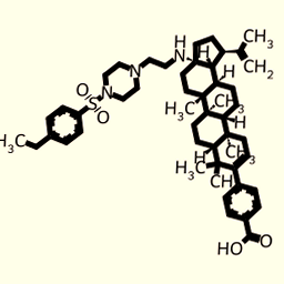 C=C(C)[C@@H]1CC[C@]2(NCCN3CCN(S(=O)(=O)c4ccc(CC)cc4)CC3)CC[C@]3(C)[C@H](CC[C@@H]4[C@@]5(C)CC=C(c6ccc(C(=O)O)cc6)C(C)(C)[C@@H]5CC[C@]43C)[C@@H]12